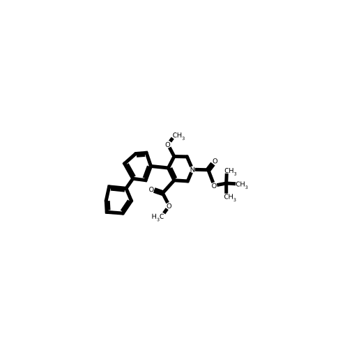 COC(=O)C1=C(c2cccc(-c3ccccc3)c2)C(OC)CN(C(=O)OC(C)(C)C)C1